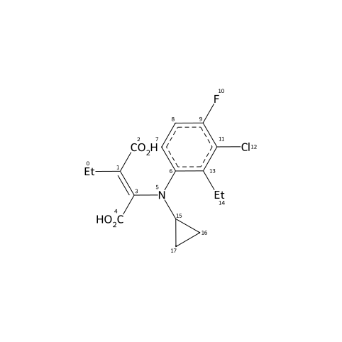 CCC(C(=O)O)=C(C(=O)O)N(c1ccc(F)c(Cl)c1CC)C1CC1